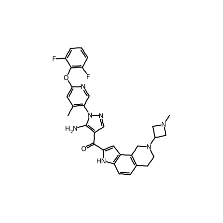 Cc1cc(Oc2c(F)cccc2F)ncc1-n1ncc(C(=O)c2cc3c4c(ccc3[nH]2)CCN(C2CN(C)C2)C4)c1N